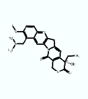 CC[C@@]1(O)C(=O)OCc2c1cc1n(c2=O)-c2cc3c(CN(C)C)c(OI)ccc3nc2C1